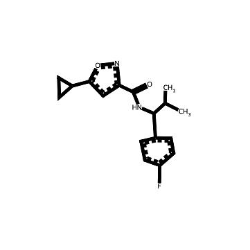 CC(C)C(NC(=O)c1cc(C2CC2)on1)c1ccc(F)cc1